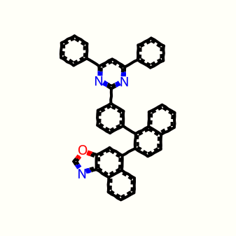 c1ccc(-c2cc(-c3ccccc3)nc(-c3cccc(-c4c(-c5cc6ocnc6c6ccccc56)ccc5ccccc45)c3)n2)cc1